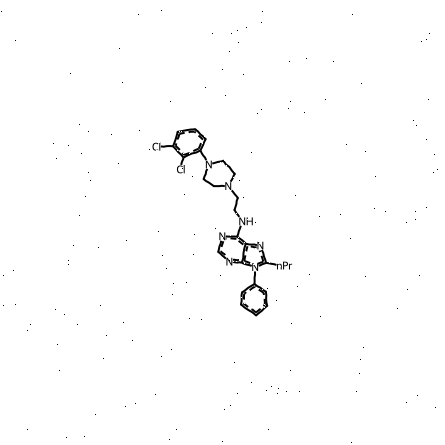 CCCc1nc2c(NCCN3CCN(c4cccc(Cl)c4Cl)CC3)ncnc2n1-c1ccccc1